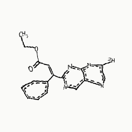 [2H]c1cnc2cnc(C(=CC(=O)OCC)c3ccccc3)nc2n1